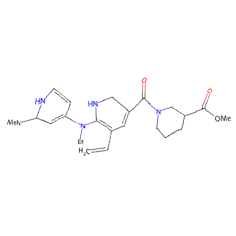 C=CC1=C(N(CC)C2=CC(NC)NC=C2)NCC(C(=O)N2CCCC(C(=O)OC)C2)=C1